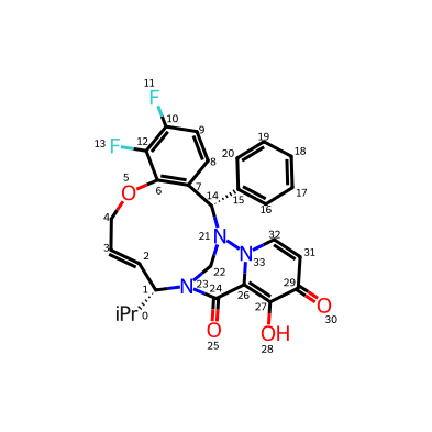 CC(C)[C@@H]1/C=C/COc2c(ccc(F)c2F)[C@H](c2ccccc2)N2CN1C(=O)c1c(O)c(=O)ccn12